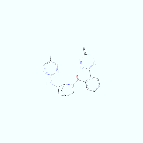 C=C(F)/C=N\C(=N/C)c1ccccc1C(=O)N1CC2CC(Nc3ncc(C(F)(F)F)cn3)C1C2